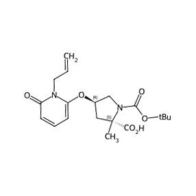 C=CCn1c(O[C@H]2CN(C(=O)OC(C)(C)C)[C@](C)(C(=O)O)C2)cccc1=O